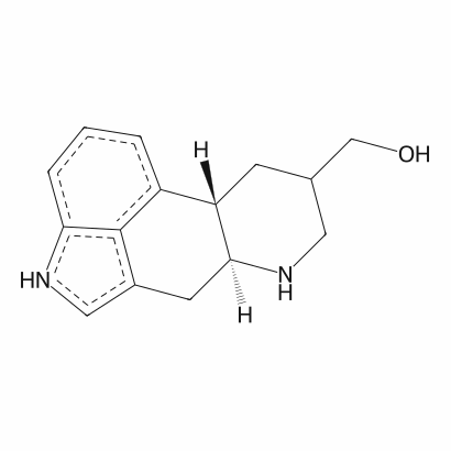 OCC1CN[C@H]2Cc3c[nH]c4cccc(c34)[C@@H]2C1